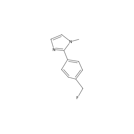 Cn1ccnc1-c1ccc(CF)cc1